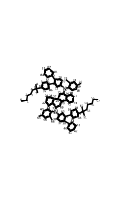 CCCCCC(C)(C)c1ccc(-c2cc(N(c3ccc(C)cc3C)c3cc4c5ccccc5c(N(c5ccc(-c6ccccc6)c(-c6ccc(C(C)(C)CCCCC)cc6)c5)c5ccc(C)cc5C)cc4c4ccccc34)ccc2-c2ccccc2)cc1